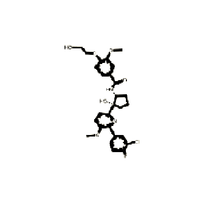 COc1cc(C(=O)N[C@@H]2CCC[C@@]2(O)c2ccc(OC)c(-c3ccc(F)c(Cl)c3)n2)ccc1OCCO